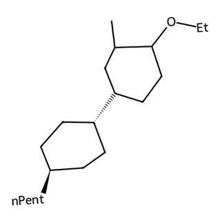 CCCCC[C@H]1CC[C@H](C2CCC(OCC)C(C)C2)CC1